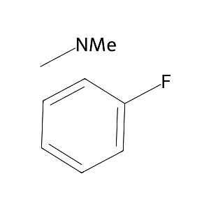 CNC.Fc1ccccc1